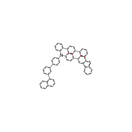 c1ccc(-c2ccc(-c3ccccc3N(c3ccc(-c4cccc(-c5cccc6ccccc56)c4)cc3)c3ccc(-c4ccc5sc6ccccc6c5c4)cc3)cc2)cc1